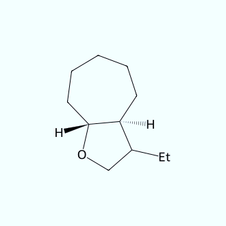 CCC1CO[C@@H]2CCCCC[C@@H]12